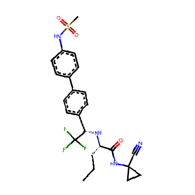 CCC[C@H](N[C@@H](c1ccc(-c2ccc(NS(C)(=O)=O)cc2)cc1)C(F)(F)F)C(=O)NC1(C#N)CC1